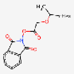 CCCCCCC(C)OCC(=O)ON1C(=O)c2ccccc2C1=O